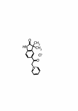 CC1(C)C(=O)Nc2ccc(C(=O)C[n+]3ccccc3)cc21.[Cl-]